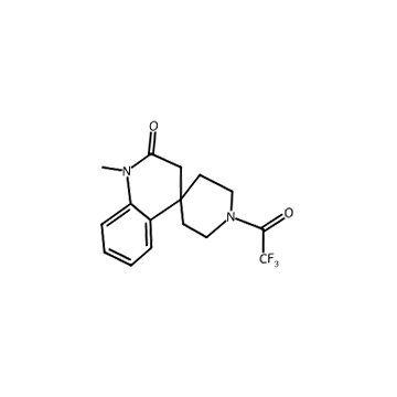 CN1C(=O)CC2(CCN(C(=O)C(F)(F)F)CC2)c2ccccc21